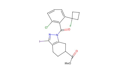 COC(=O)C1CCc2c(I)nn(C(=O)c3c(Cl)cccc3C3(F)CCC3)c2C1